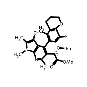 COC(=O)[C@@H](OC(C)(C)C)c1c(C)nc2c(c(C)c(C)n2C)c1-c1cc(F)c2c(c1C)CCCO2